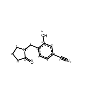 N#Cc1ccc(CN2CCCC2=O)c(O)c1